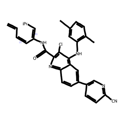 C=C/C=C\C(=C/C(C)C)NC(=O)c1nc2ccc(-c3ccc(C#N)nc3)cc2c(Nc2cc(C)ccc2C)c1Cl